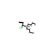 C=CC(Cl)[SiH](CCCC)CCCC